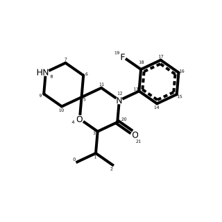 CC(C)C1OC2(CCNCC2)CN(c2ccccc2F)C1=O